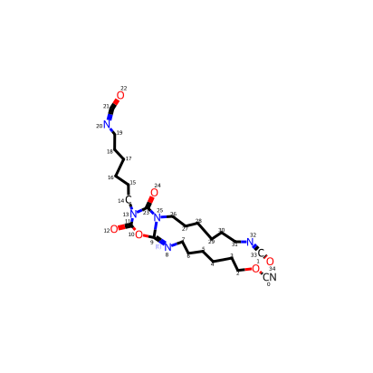 N#COCCCCCC/N=c1/oc(=O)n(CCCCCCN=C=O)c(=O)n1CCCCCCN=C=O